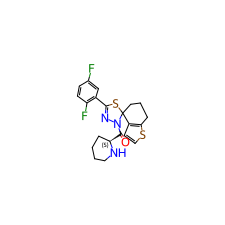 O=C([C@@H]1CCCCN1)N1N=C(c2cc(F)ccc2F)SC12CCCc1sccc12